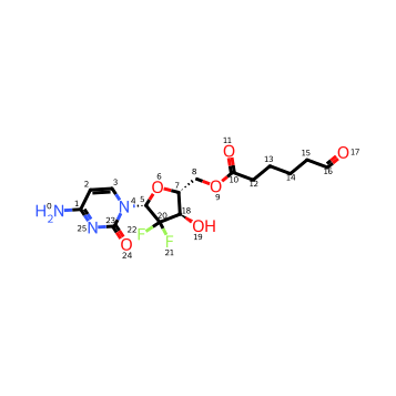 Nc1ccn([C@@H]2O[C@H](COC(=O)CCCCC=O)[C@@H](O)C2(F)F)c(=O)n1